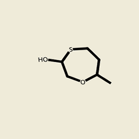 CC1CCSC(O)CO1